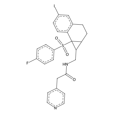 O=C(Cc1ccncc1)NCC1C2CCc3cc(I)ccc3C21S(=O)(=O)c1ccc(F)cc1